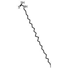 S=C(S)NCCCCCCCCCCCCCCCCCCCCCCCCCCI